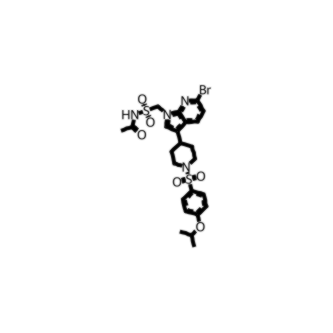 CC(=O)NS(=O)(=O)Cn1cc(C2CCN(S(=O)(=O)c3ccc(OC(C)C)cc3)CC2)c2ccc(Br)nc21